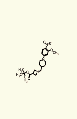 COc1cc(N2CCC(CN3CC(C(=O)OC(C)(C)C)C3)CC2)ccc1[N+](=O)[O-]